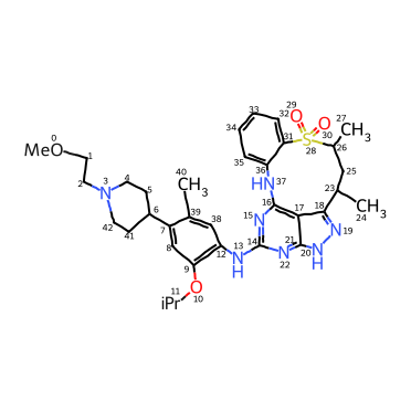 COCCN1CCC(c2cc(OC(C)C)c(Nc3nc4c5c(n[nH]c5n3)C(C)CC(C)S(=O)(=O)c3ccccc3N4)cc2C)CC1